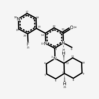 Cn1c(N2CCC[C@@H]3CCCC[C@@H]32)nc(-c2ccncc2F)cc1=O